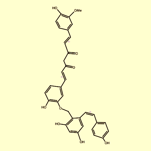 COc1cc(/C=C/C(=O)CC(=O)/C=C/c2ccc(O)c(OCc3c(O)cc(O)cc3/C=C\c3ccc(O)cc3)c2)ccc1O